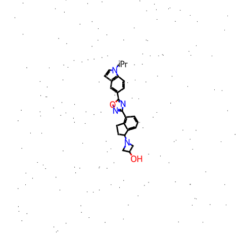 CC(C)n1ccc2cc(-c3nc(-c4cccc5c4CCC5N4CC(O)C4)no3)ccc21